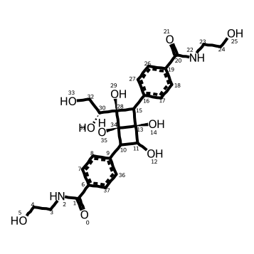 O=C(NCCO)c1ccc(C2C(O)[C@@]3(O)C(c4ccc(C(=O)NCCO)cc4)[C@@](O)([C@H](O)CO)[C@@]23O)cc1